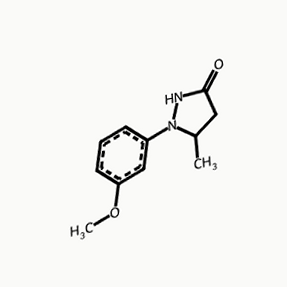 COc1cccc(N2NC(=O)CC2C)c1